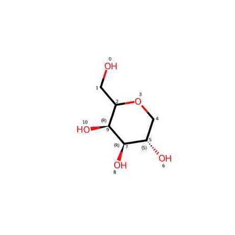 OCC1O[CH][C@H](O)[C@@H](O)[C@H]1O